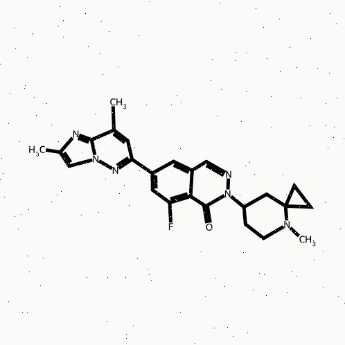 Cc1cn2nc(-c3cc(F)c4c(=O)n(C5CCN(C)C6(CC6)C5)ncc4c3)cc(C)c2n1